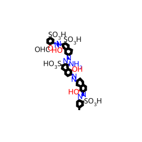 Cc1ccc(N=Nc2ccc3ccc(N=Nc4ccc5cc(S(=O)(=O)O)c(N=Nc6ccc7cc(S(=O)(=O)O)c(N=Nc8cc(S(=O)(=O)O)ccc8OC=O)c(O)c7c6)c(N)c5c4O)cc3c2O)c(S(=O)(=O)O)c1